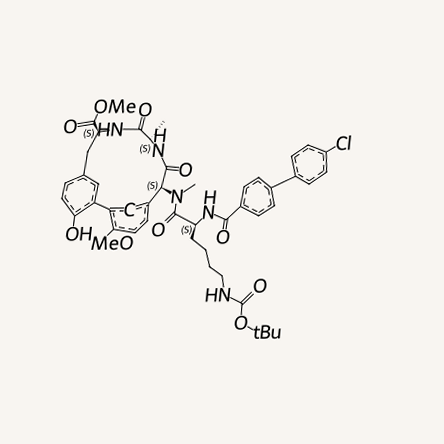 COC(=O)[C@@H]1Cc2ccc(O)c(c2)-c2cc(ccc2OC)[C@H](N(C)C(=O)[C@H](CCCCNC(=O)OC(C)(C)C)NC(=O)c2ccc(-c3ccc(Cl)cc3)cc2)C(=O)N[C@@H](C)C(=O)N1